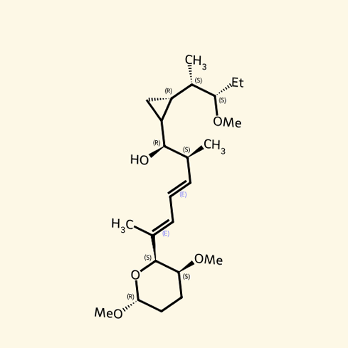 CC[C@H](OC)[C@@H](C)[C@H]1CC1[C@H](O)[C@@H](C)/C=C/C=C(\C)[C@@H]1O[C@@H](OC)CC[C@@H]1OC